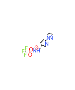 O=C(ONOCc1ccc(-n2cccn2)nc1)C(F)(F)F